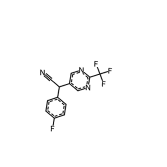 N#CC(c1ccc(F)cc1)c1cnc(C(F)(F)F)nc1